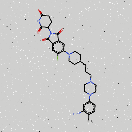 Nc1cc(N2CCN(CCCC3CCN(c4cc5c(cc4F)C(=O)N(C4CCC(=O)NC4=O)C5=O)CC3)CC2)ccc1[N+](=O)[O-]